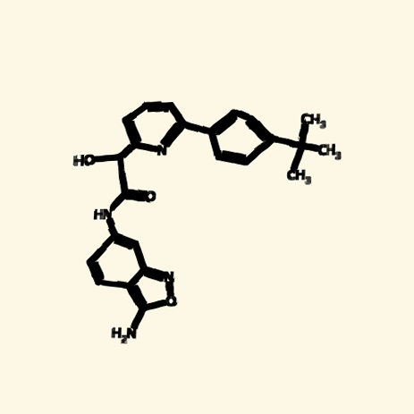 CC(C)(C)c1ccc(-c2cccc(C(O)C(=O)Nc3ccc4c(N)onc4c3)n2)cc1